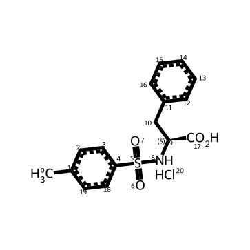 Cc1ccc(S(=O)(=O)N[C@@H](Cc2ccccc2)C(=O)O)cc1.Cl